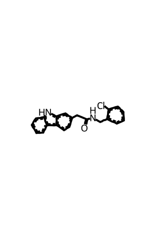 O=C(Cc1ccc2c(c1)[nH]c1ccccc12)NCc1ccccc1Cl